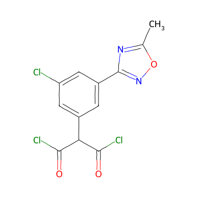 Cc1nc(-c2cc(Cl)cc(C(C(=O)Cl)C(=O)Cl)c2)no1